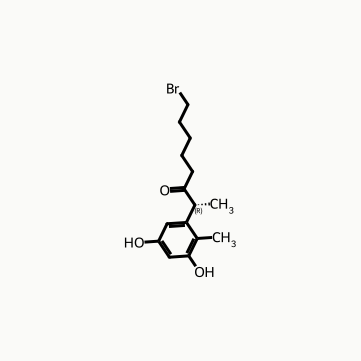 Cc1c(O)cc(O)cc1[C@@H](C)C(=O)CCCCCBr